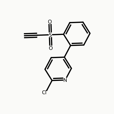 C#CS(=O)(=O)c1ccccc1-c1ccc(Cl)nc1